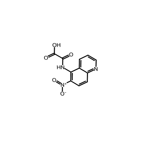 O=C(O)C(=O)Nc1c([N+](=O)[O-])ccc2ncccc12